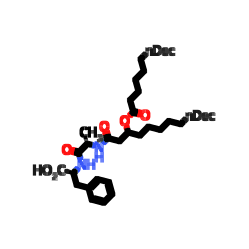 CCCCCCCCCCCCCCCC(=O)OC(CCCCCCCCCCCCCCC)CC(=O)N[C@@H](C)C(=O)N[C@@H](Cc1ccccc1)C(=O)O